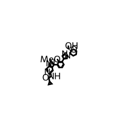 COc1c(-c2cnn([C@H]3CCCO[C@@H]3CO)c2)cccc1-c1nn(C)c2cnc(NC(=O)C3CC3)cc12